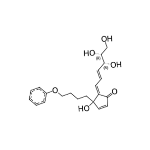 O=C1C=CC(O)(CCCCOc2ccccc2)C1=CC=C[C@@H](O)[C@H](O)CO